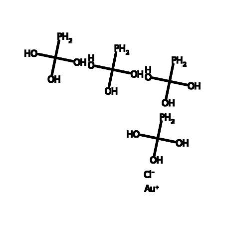 OC(O)(O)P.OC(O)(O)P.OC(O)(O)P.OC(O)(O)P.[Au+].[Cl-]